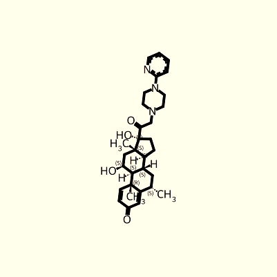 C[C@H]1C[C@@H]2[C@H]([C@@H](O)C[C@@]3(C)[C@H]2CC[C@]3(O)C(=O)CN2CCN(c3ccccn3)CC2)[C@@]2(C)C=CC(=O)C=C12